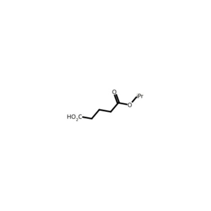 CC(C)OC(=O)CCCC(=O)O